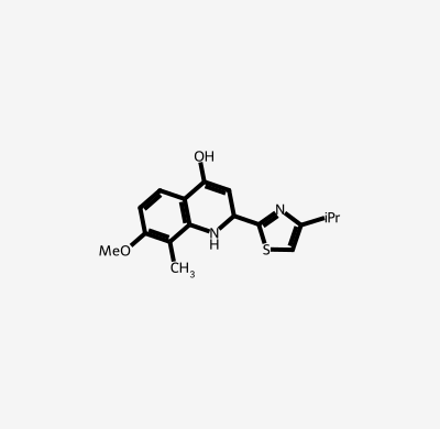 COc1ccc2c(c1C)NC(c1nc(C(C)C)cs1)C=C2O